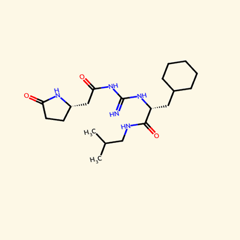 CC(C)CNC(=O)[C@@H](CC1CCCCC1)NC(=N)NC(=O)C[C@@H]1CCC(=O)N1